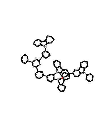 c1ccc(-c2nc(-c3cccc(-c4ccc(-n5c6ccccc6c6ccccc65)c(-n5c6ccccc6c6cc(-c7ccc8c(c7)c7ccccc7n8-c7ccccc7)ccc65)c4)c3)nc(-c3cccc(-n4c5ccccc5c5ccccc54)c3)n2)cc1